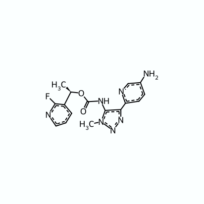 C[C@@H](OC(=O)Nc1c(-c2ccc(N)cn2)nnn1C)c1cccnc1F